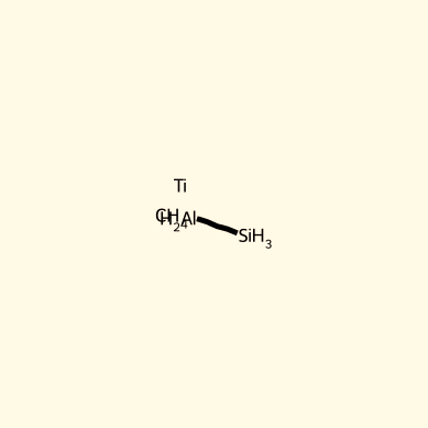 C.[AlH2][SiH3].[Ti]